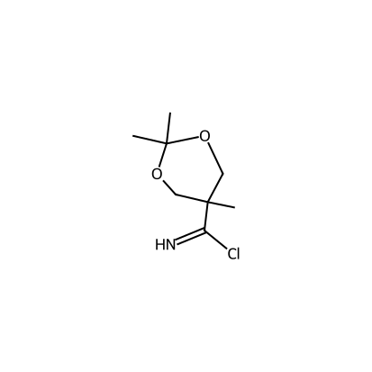 CC1(C)OCC(C)(C(=N)Cl)CO1